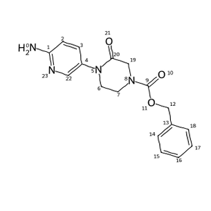 Nc1ccc(N2CCN(C(=O)OCc3ccccc3)CC2=O)cn1